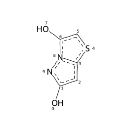 Oc1cc2scc(O)n2n1